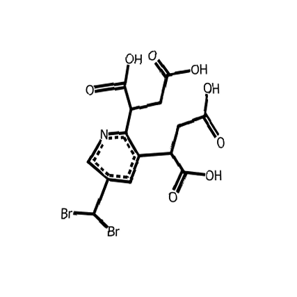 O=C(O)CC(C(=O)O)c1cc(C(Br)Br)cnc1C(CC(=O)O)C(=O)O